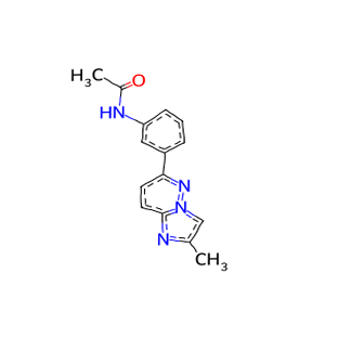 CC(=O)Nc1cccc(-c2ccc3nc(C)cn3n2)c1